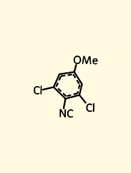 [C-]#[N+]c1c(Cl)cc(OC)cc1Cl